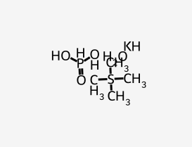 CS(C)(C)C.O.O=[PH](O)O.[KH]